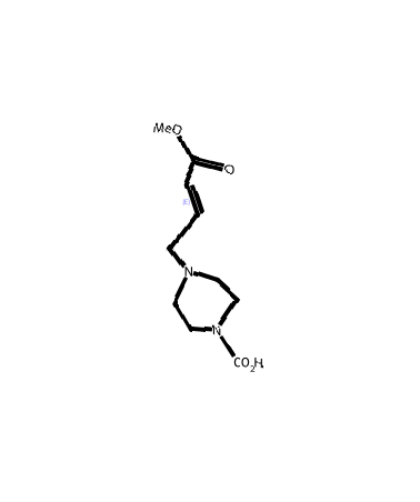 COC(=O)/C=C/CN1CCN(C(=O)O)CC1